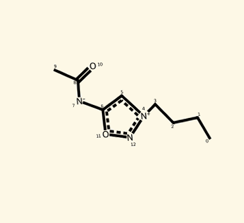 CCCC[n+]1cc([N-]C(C)=O)on1